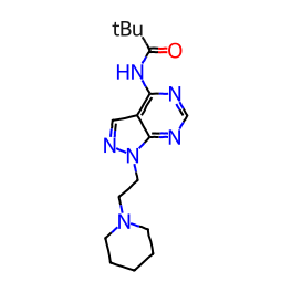 CC(C)(C)C(=O)Nc1ncnc2c1cnn2CCN1CCCCC1